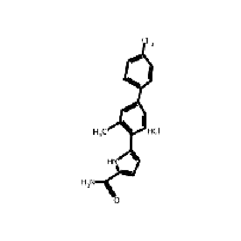 Cc1cc(-c2ccc(C(F)(F)F)cc2)ccc1-c1ccc(C(N)=O)[nH]1.Cl